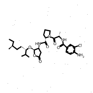 CC[C@H](C)CC[C@H](O[C@@H]1OC(=O)C[C@@H]1NC(=O)[C@@H]1CCCN1C(=O)[C@H](C)NC(=O)c1ccc(N)c(Cl)c1)C(C)C